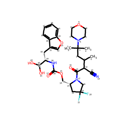 CC(CC(C)(C)N1CCOCC1)C(C#N)C(=O)N1CC(F)(F)C[C@@H]1COC(=O)N[C@@H](Cc1coc2ccccc12)B(O)O